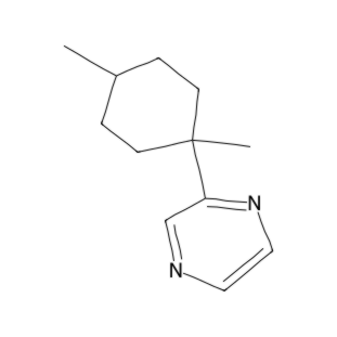 CC1CCC(C)(c2cnccn2)CC1